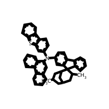 CC1CC2CC(C)C3(c4ccccc4-c4ccc(N(c5ccc6c(c5)sc5ccccc56)c5cc6ccccc6c6ccccc56)cc43)C(C1)C2